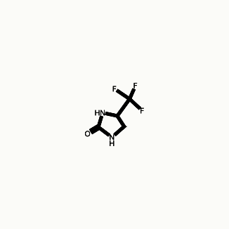 O=C1N[CH]C(C(F)(F)F)N1